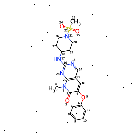 Cn1c(=O)c(Oc2ccccc2)cc2cnc(NC3CCN(S(C)(=O)=O)CC3)nc21